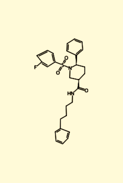 O=C(NCCCCc1ccccc1)[C@@H]1CC[C@H](c2ccccc2)N(S(=O)(=O)c2cccc(F)c2)C1